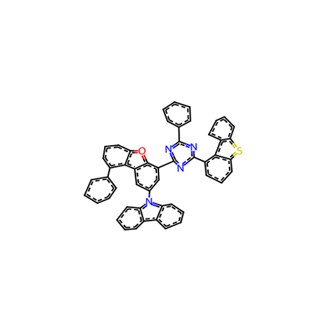 c1ccc(-c2nc(-c3cc(-n4c5ccccc5c5ccccc54)cc4c3oc3cccc(-c5ccccc5)c34)nc(-c3cccc4sc5ccccc5c34)n2)cc1